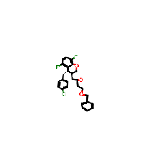 O=C(CCOCc1ccccc1)C[C@@H]1COc2c(F)ccc(F)c2[C@H]1Cc1ccc(Cl)cc1